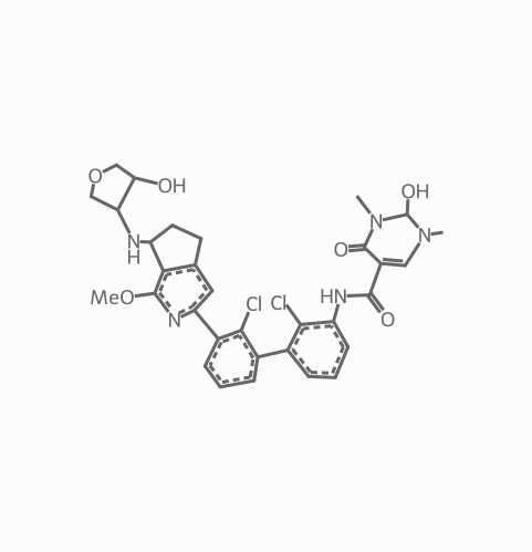 COc1nc(-c2cccc(-c3cccc(NC(=O)C4=CN(C)C(O)N(C)C4=O)c3Cl)c2Cl)cc2c1C(NC1COCC1O)CC2